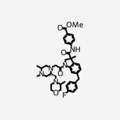 COC(=O)c1ccc(NC(=O)C2(C)CN(C(=O)CN3CC(C)N(C)C[C@@H]3CN3CCOCC3C)c3cc(Cc4ccc(F)cc4)ccc32)cc1